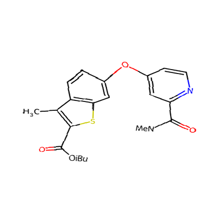 CNC(=O)c1cc(Oc2ccc3c(C)c(C(=O)OCC(C)C)sc3c2)ccn1